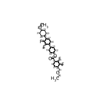 CCOCc1ccc(C(=O)Oc2ccc(-c3ccc(C4CCC(OC)CC4)c(F)c3F)cc2)c(F)c1F